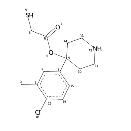 Cc1cc(C2(OC(=O)CS)CCNCC2)ccc1Cl